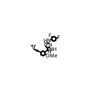 COc1ccc(C#CCN(C)C)cc1-c1n[nH]c2nc(Nc3ccc(F)cc3F)ncc12